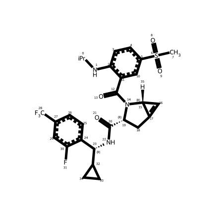 CC(C)Nc1ccc(S(C)(=O)=O)cc1C(=O)N1[C@@H]2C=C2C[C@@H]1C(=O)N[C@@H](c1ccc(C(F)(F)F)cc1F)C1CC1